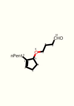 CCCCCC1=CCCC1OCCCC=O